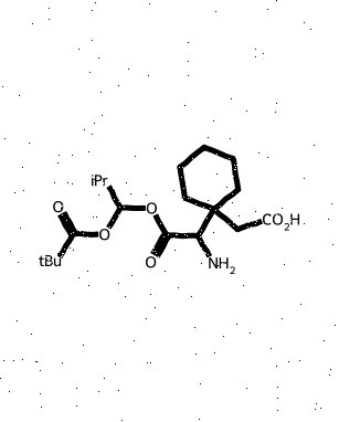 CC(C)C(OC(=O)C(N)C1(CC(=O)O)CCCCC1)OC(=O)C(C)(C)C